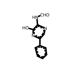 O=CNc1ncc(-c2ccccc2)nc1O